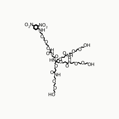 O=C(CCOCC(COCCC(=O)NCCOCCOCCO)(COCCC(=O)NCCOCCOCCO)NC(=O)CNC(=O)COCCOCCOCCNc1ccc([N+](=O)[O-])cc1[N+](=O)[O-])NCCOCCOCCO